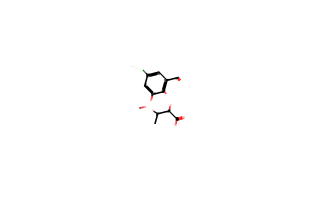 COc1cc(Br)cc(C=O)c1OC(C(=O)O)C(C)C